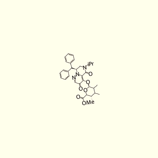 COC(=O)C1O[C@@H](Oc2c3n(ncc2=O)[C@@H](C(c2ccccc2)c2ccccc2)CN(C(C)C)C3=O)C(C)C(C)[C@@H]1C